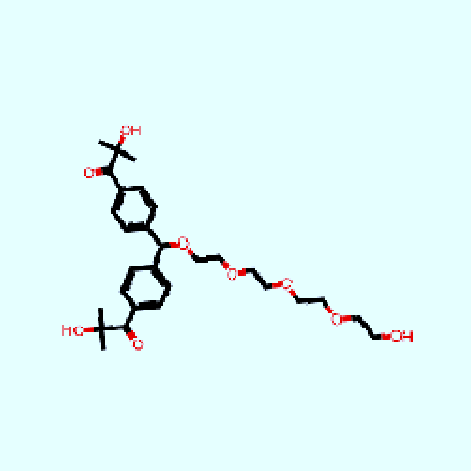 CC(C)(O)C(=O)c1ccc(C(OCCOCCOCCOCCO)c2ccc(C(=O)C(C)(C)O)cc2)cc1